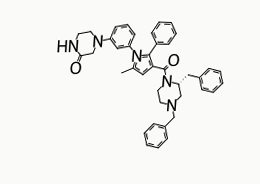 Cc1cc(C(=O)N2CCN(Cc3ccccc3)C[C@H]2Cc2ccccc2)c(-c2ccccc2)n1-c1cccc(N2CCNC(=O)C2)c1